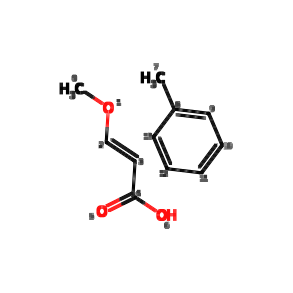 COC=CC(=O)O.Cc1ccccc1